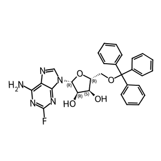 Nc1nc(F)nc2c1ncn2[C@@H]1O[C@H](COC(c2ccccc2)(c2ccccc2)c2ccccc2)[C@@H](O)[C@H]1O